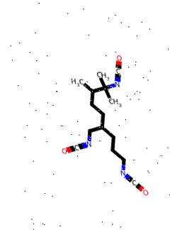 CC(CCC(CCCN=C=O)CN=C=O)C(C)(C)N=C=O